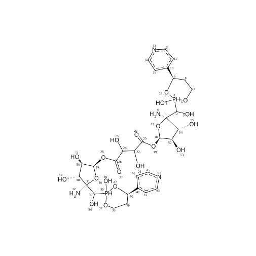 N[C@@]1(C(O)[PH]2(O)OCC[C@H](c3ccncc3)O2)O[C@H](OC(=O)C(O)C(O)C(=O)O[C@H]2O[C@@](N)(C(O)[PH]3(O)OCC[C@H](c4ccncc4)O3)[C@H](O)[C@H]2O)[C@H](O)[C@H]1O